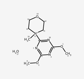 COc1nc(OC)nc([N+]2(C)CCOCC2)n1.O